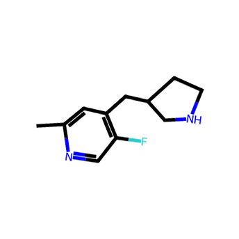 Cc1cc(CC2CCNC2)c(F)cn1